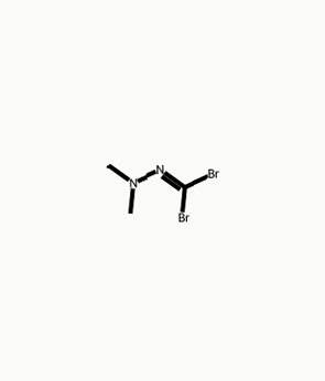 CN(C)N=C(Br)Br